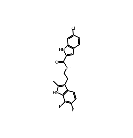 Cc1[nH]c2c(F)c(F)ccc2c1CCNC(=O)c1cc2ccc(Cl)cc2[nH]1